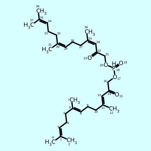 CC(C)=CCCC(C)=CCCC(C)=CC(=O)CO[PH](=O)OCC(=O)C=C(C)CCC=C(C)CCC=C(C)C